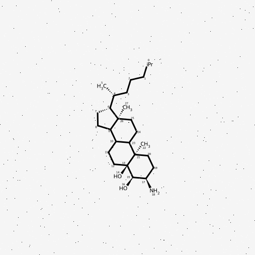 CC(C)CCC[C@@H](C)[C@H]1CCC2C3CC[C@@]4(O)[C@H](O)[C@H](N)CC[C@]4(C)C3CC[C@@]21C